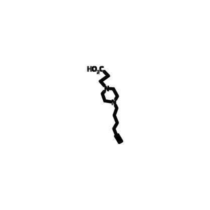 C#CCCCCN1CCN(CCC(=O)O)CC1